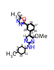 COc1nc(NC2CCC(C)CC2)ncc1-c1cccc(-c2nnc(C)o2)c1